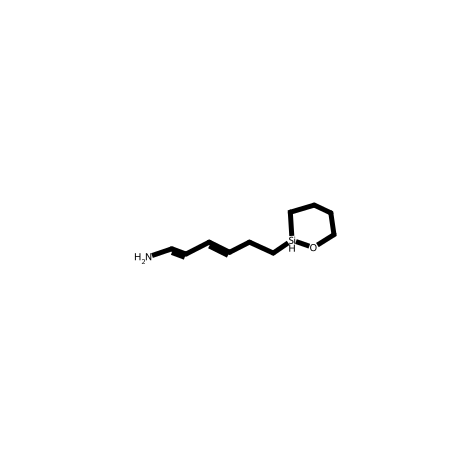 NC=CC=CCC[SiH]1CCCCO1